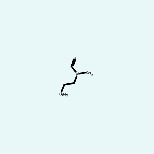 COCCN(C)C=S